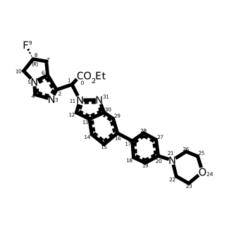 CCOC(=O)C(c1ncn2c1C[C@@H](F)C2)n1cc2ccc(-c3ccc(N4CCOCC4)cc3)cc2n1